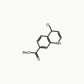 COC(=O)c1ccc2c(c1)NC=CC2Cl